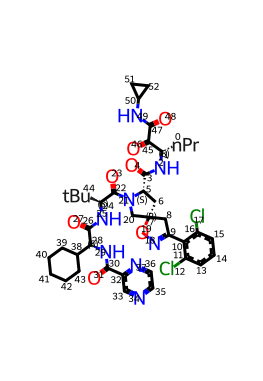 CCC[C@H](NC(=O)[C@@H]1C[C@@]2(CC(c3c(Cl)cccc3Cl)=NO2)CN1C(=O)[C@@H](NC(=O)[C@@H](NC(=O)c1cnccn1)C1CCCCC1)C(C)(C)C)C(=O)C(=O)NC1CC1